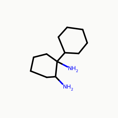 NC1CCCCC1(N)C1CCCCC1